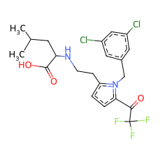 CC(C)CC(NCCc1ccc(C(=O)C(F)(F)F)n1Cc1cc(Cl)cc(Cl)c1)C(=O)O